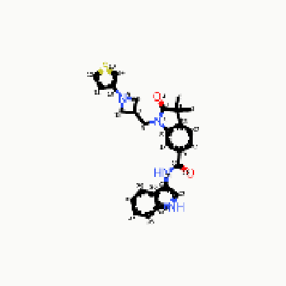 CC1(C)C(=O)N(CC2CN(c3ccsc3)C2)c2cc(C(=O)Nc3c[nH]c4ccccc34)ccc21